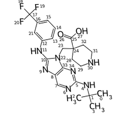 CC(C)(C)Nc1ncc2nc(Nc3cccc(C(F)(F)F)c3)n(CC3(C(=O)O)CCNCC3)c2n1